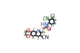 N#Cc1cc2cc3c(cc2nc1SCC(=O)Nc1cccc(Cl)c1Cl)OCCO3